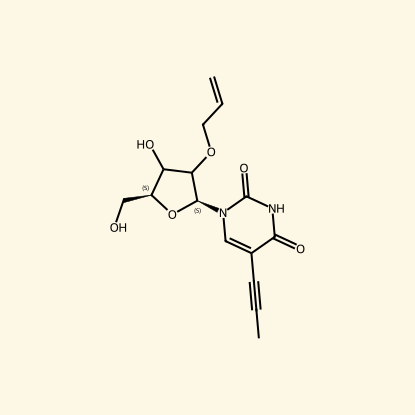 C=CCOC1C(O)[C@H](CO)O[C@@H]1n1cc(C#CC)c(=O)[nH]c1=O